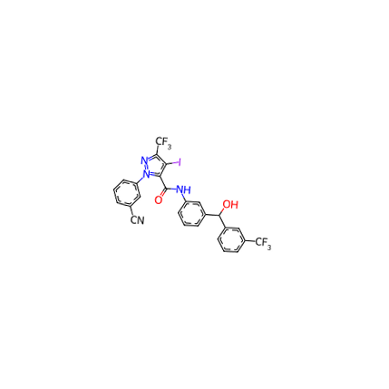 N#Cc1cccc(-n2nc(C(F)(F)F)c(I)c2C(=O)Nc2cccc(C(O)c3cccc(C(F)(F)F)c3)c2)c1